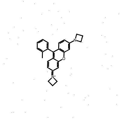 Cc1ccccc1-c1c2ccc(=[N+]3CCC3)cc-2oc2cc(N3CCC3)ccc12